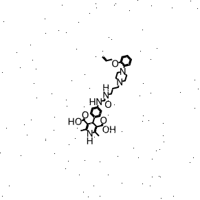 C=CCOc1ccccc1N1CCN(CCCNC(=O)Nc2ccc(C3C(C(=O)O)=C(C)NC(C)=C3C(=O)O)cc2)CC1